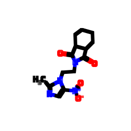 Cc1ncc([N+](=O)[O-])n1CCN1C(=O)C2CCCCC2C1=O